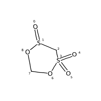 O=S1CS(=O)(=O)OCO1